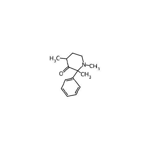 CC1CCN(C)C(C)(c2ccccc2)C1=O